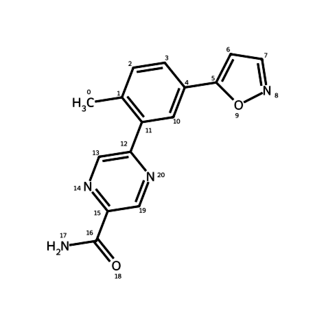 Cc1ccc(-c2ccno2)cc1-c1cnc(C(N)=O)cn1